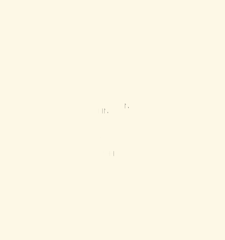 Oc1ccc(C2=CN=Cc3ccccc3N2)cc1